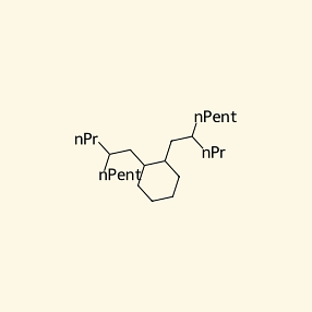 CCCCCC(CCC)CC1CCCCC1CC(CCC)CCCCC